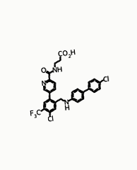 O=C(O)CCNC(=O)c1ccc(-c2cc(C(F)(F)F)c(Cl)cc2CNc2ccc(-c3ccc(Cl)cc3)cc2)cn1